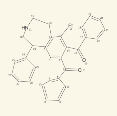 CCc1c2c(cc(C(=O)c3ccccc3)c1C(=O)c1ccccc1)C(c1ccccc1)CNCC2